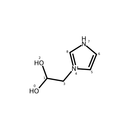 OC(O)C[n+]1cc[nH]c1